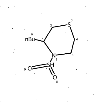 CCCCC1CSCCN1[SH](=O)=O